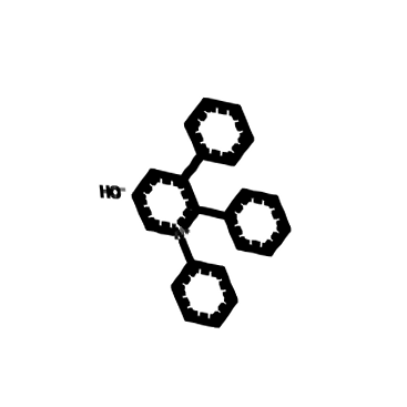 [OH-].c1ccc(-c2ccc[n+](-c3ccccc3)c2-c2ccccc2)cc1